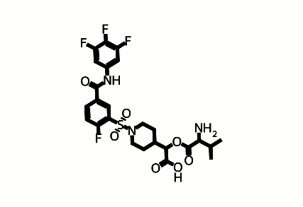 CC(C)C(N)C(=O)OC(C(=O)O)C1CCN(S(=O)(=O)c2cc(C(=O)Nc3cc(F)c(F)c(F)c3)ccc2F)CC1